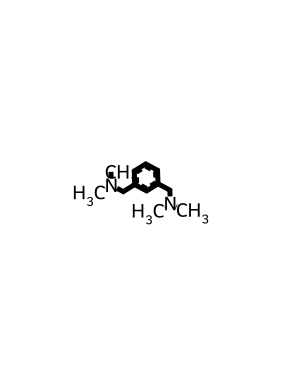 CN(C)Cc1cccc(CN(C)C)c1